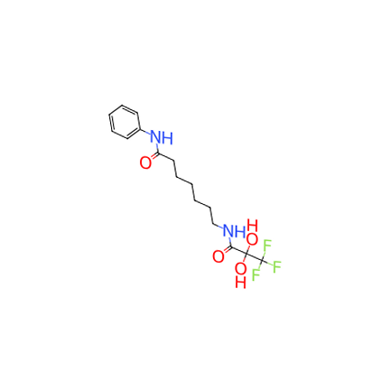 O=C(CCCCCCNC(=O)C(O)(O)C(F)(F)F)Nc1ccccc1